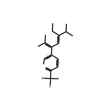 C=C(/C=C\C(=C/C)C(/C=C(\CC)C(C)C)=C(C)C)C(F)(F)F